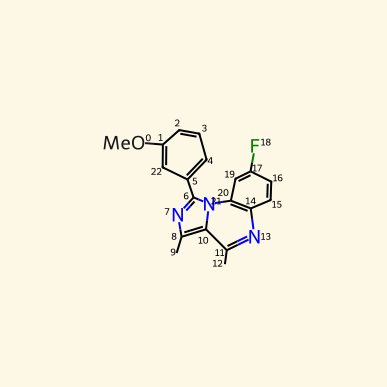 COc1cccc(-c2nc(C)c3c(C)nc4ccc(F)cc4n23)c1